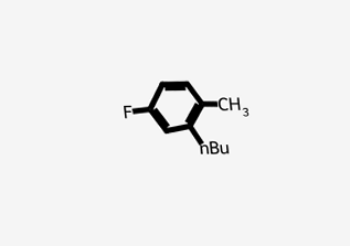 CCCCc1cc(F)ccc1C